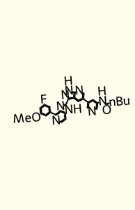 CCCCC(=O)Nc1cncc(-c2cnc3[nH]nc(-c4nc5c(-c6cc(F)cc(OC)c6)nccc5[nH]4)c3c2)c1